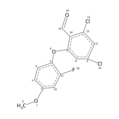 COc1ccc(Oc2cc(Cl)cc(Cl)c2C=O)c(F)c1